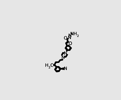 C=C(CCCCN1CCN(c2ccc3oc(C(=O)N=NN)cc3c2)CC1)c1cccc(C#N)c1